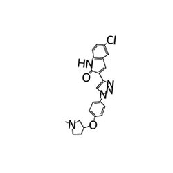 CN1CCC(Oc2ccc(-n3cc(-c4cc5cc(Cl)ccc5[nH]c4=O)nn3)cc2)C1